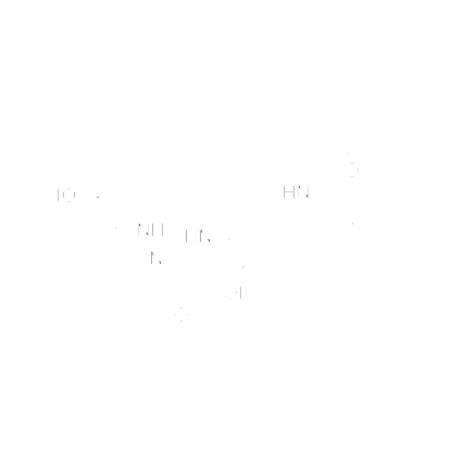 CC(C)(C)OC(=O)NCCC(=O)N/C(=N\NCCO)C(=O)O